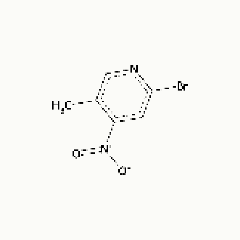 Cc1cnc(Br)cc1[N+](=O)[O-]